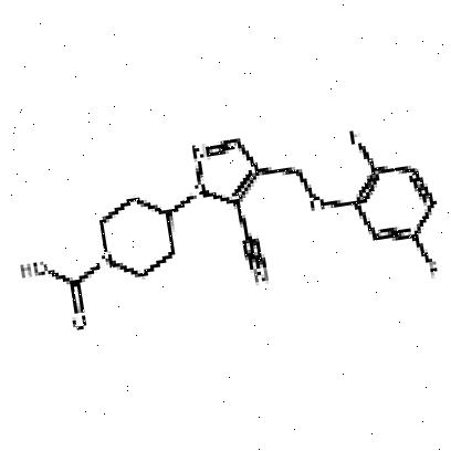 N#Cc1c(COc2cc(F)ccc2F)cnn1C1CCN(C(=O)O)CC1